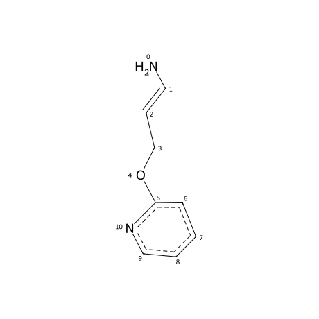 NC=CCOc1ccccn1